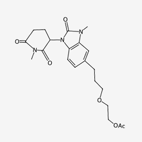 CC(=O)OCCOCCCc1ccc2c(c1)n(C)c(=O)n2C1CCC(=O)N(C)C1=O